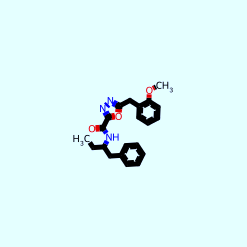 CCC(Cc1ccccc1)NC(=O)c1nnc(Cc2ccccc2OC)o1